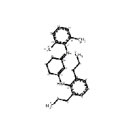 CCCc1cccc(CCC)c1NC1=C/C(=N/c2c(C)cccc2C)CCC1